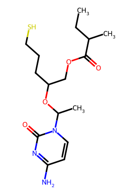 CCC(C)C(=O)OCC(CCCS)OC(C)n1ccc(N)nc1=O